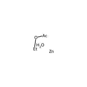 CCOC(C)=O.O.[Zn]